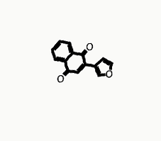 O=C1C=C(c2ccoc2)C(=O)c2ccccc21